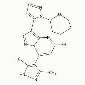 [2H]c1cc(-c2c(C)n[nH]c2C)n2ncc(-c3ccnn3C3CCCCO3)c2n1